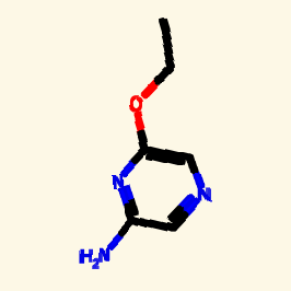 CCOc1cncc(N)n1